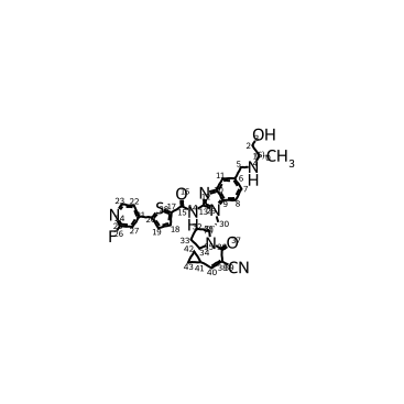 C[C@@H](CO)NCc1ccc2c(c1)nc(NC(=O)c1ccc(-c3ccnc(F)c3)s1)n2C[C@H]1CCCN1C(=O)C(C#N)=CC1CC1